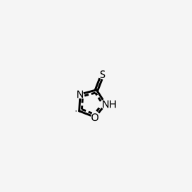 S=c1n[c]o[nH]1